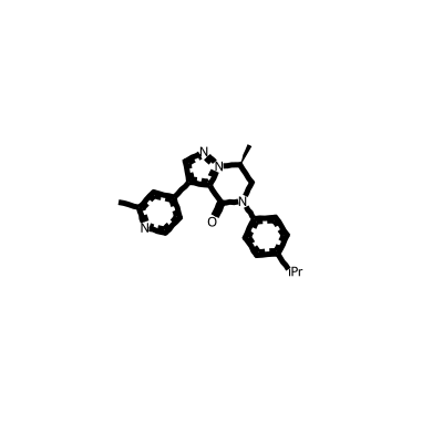 Cc1cc(-c2cnn3c2C(=O)N(c2ccc(C(C)C)cc2)C[C@@H]3C)ccn1